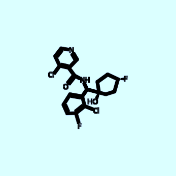 O=C(NC(c1cccc(F)c1Cl)[C@]1(O)CC[C@H](F)CC1)c1cnccc1Cl